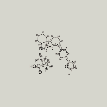 Cc1nnc(-c2ccc(N3CCCC(C4(N)CCCCC4N)C3)cc2)o1.O=C(O)C(C(F)(F)F)C(F)(F)F